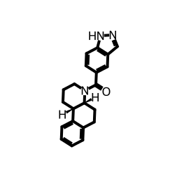 O=C(c1ccc2[nH]ncc2c1)N1CCC[C@H]2c3ccccc3CC[C@H]21